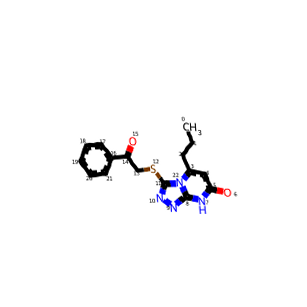 CCCc1cc(=O)[nH]c2nnc(SCC(=O)c3ccccc3)n12